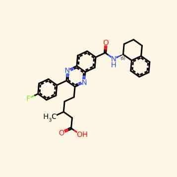 CC(CCc1nc2cc(C(=O)N[C@H]3CCCc4ccccc43)ccc2nc1-c1ccc(F)cc1)CC(=O)O